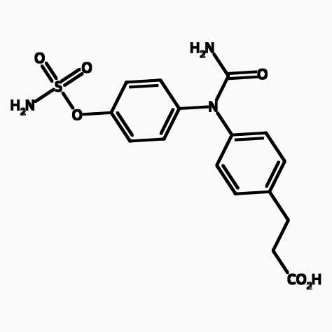 NC(=O)N(c1ccc(CCC(=O)O)cc1)c1ccc(OS(N)(=O)=O)cc1